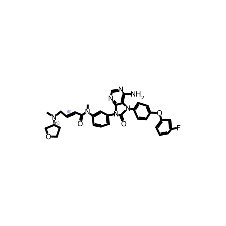 CN(C(=O)/C=C/CN(C)[C@H]1CCOC1)c1cccc(-n2c(=O)n(-c3ccc(Oc4cccc(F)c4)cc3)c3c(N)ncnc32)c1